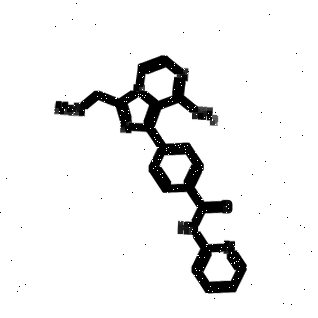 CNCc1nc(-c2ccc(C(=O)Nc3ccccn3)cc2)c2c(N)nccn12